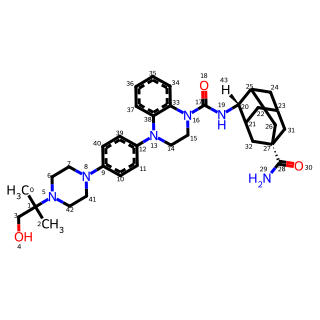 CC(C)(CO)N1CCN(c2ccc(N3CCN(C(=O)N[C@H]4C5CC6CC4C[C@@](C(N)=O)(C6)C5)c4ccccc43)cc2)CC1